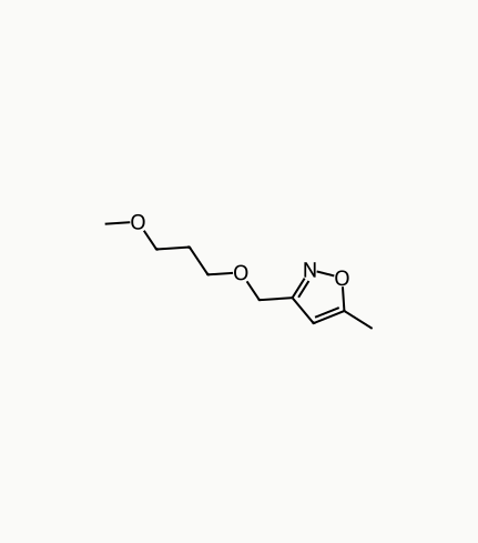 COCCCOCc1cc(C)on1